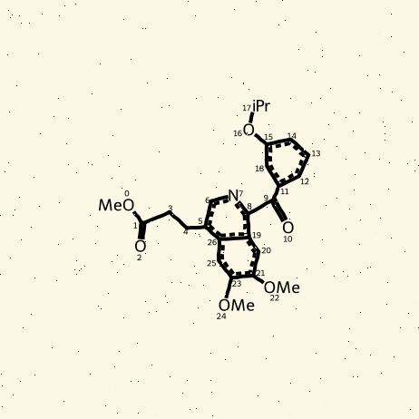 COC(=O)CCc1cnc(C(=O)c2cccc(OC(C)C)c2)c2cc(OC)c(OC)cc12